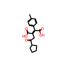 Cc1ccc(C(C(=O)O)=C(CC(=O)C2CCCC2)C(=O)O)cc1